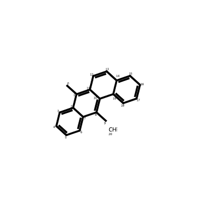 Cc1c2ccccc2c(C)c2c1ccc1ccccc12.[CH]